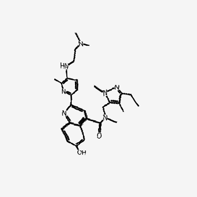 CCc1nn(C)c(CN(C)C(=O)c2cc(-c3ccc(NCCN(C)C)c(C)n3)nc3ccc(O)cc23)c1C